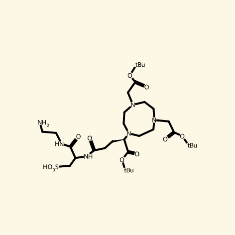 CC(C)(C)OC(=O)CN1CCN(CC(=O)OC(C)(C)C)CCN([C@H](CCC(=O)NC(CS(=O)(=O)O)C(=O)NCCN)C(=O)OC(C)(C)C)CC1